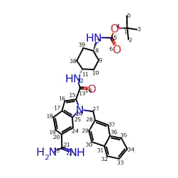 CC(C)(C)OC(=O)N[C@H]1CC[C@H](NC(=O)c2cc3ccc(C(=N)N)cc3n2Cc2ccc3ccccc3c2)CC1